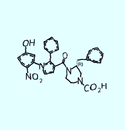 O=C(O)N1CCN(C(=O)c2ccn(-c3cc(O)ccc3[N+](=O)[O-])c2-c2ccccc2)[C@H](Cc2ccccc2)C1